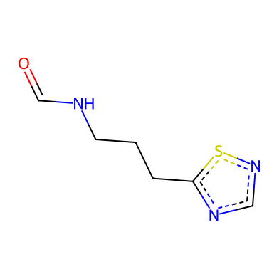 O=CNCCCc1ncns1